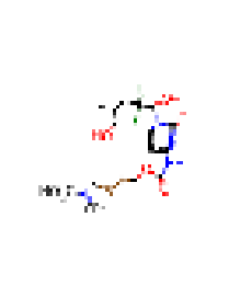 CCCN(CSSCOC(=O)Nc1ccn([C@H](O)C(F)(F)C[C@H](C)CO)c(=O)n1)C(=O)O